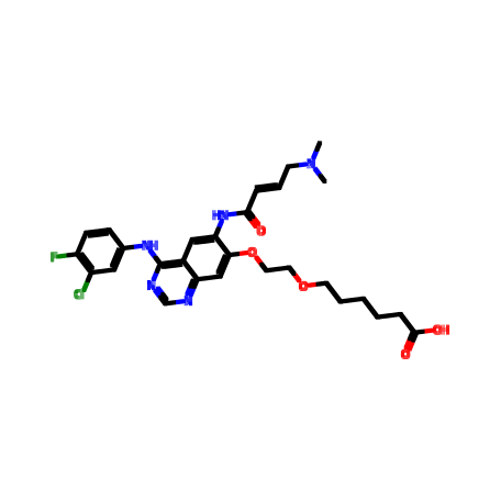 CN(C)C/C=C/C(=O)Nc1cc2c(Nc3ccc(F)c(Cl)c3)ncnc2cc1OCCOCCCCCC(=O)O